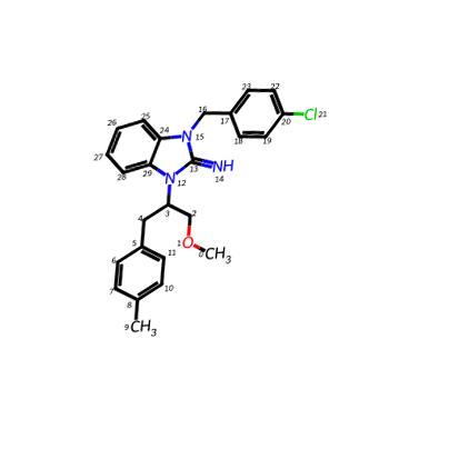 COCC(Cc1ccc(C)cc1)n1c(=N)n(Cc2ccc(Cl)cc2)c2ccccc21